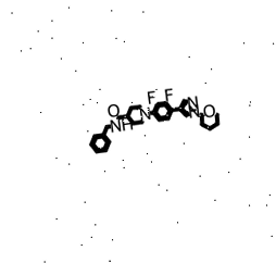 O=C(NCc1ccccc1)C1CCN(c2ccc(-c3cnn(C4CCCCO4)c3)c(F)c2F)CC1